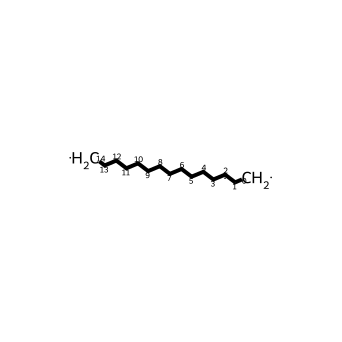 [CH2]C[CH]CCCCCCCCCCC[CH2]